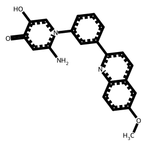 COc1ccc2nc(-c3cccc(-n4cc(O)c(=O)cc4N)c3)ccc2c1